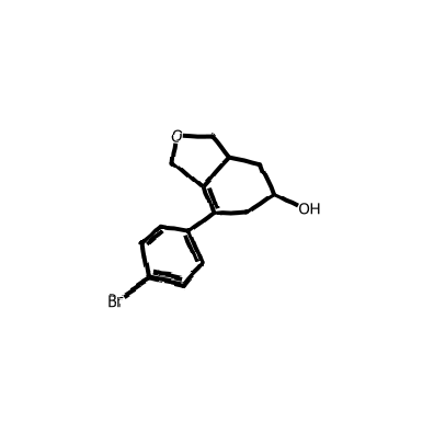 OC1CC(c2ccc(Br)cc2)=C2COCC2C1